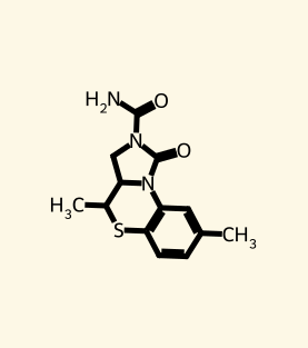 Cc1ccc2c(c1)N1C(=O)N(C(N)=O)CC1C(C)S2